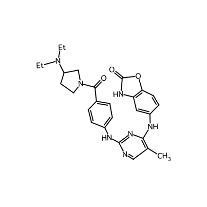 CCN(CC)C1CCN(C(=O)c2ccc(Nc3ncc(C)c(Nc4ccc5oc(=O)[nH]c5c4)n3)cc2)C1